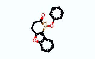 O=C1CCc2oc3ccccc3c2[SH]1Oc1ccccc1